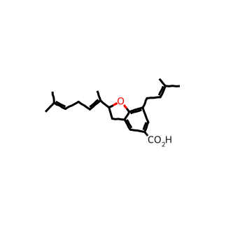 CC(C)=CC/C=C(\C)C1Cc2cc(C(=O)O)cc(CC=C(C)C)c2O1